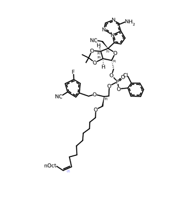 CCCCCCCC/C=C\CCCCCCCCOC[C@H](COP(=O)(OC[C@H]1O[C@@](CC#N)(c2ccc3c(N)ncnn23)[C@@H]2OC(C)(C)O[C@@H]21)Oc1ccccc1Cl)OCc1cc(F)cc(C#N)c1